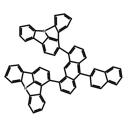 c1ccc2cc(-c3c4cccc(-c5ccc6c7ccccc7n7c8ccccc8c5c67)c4cc4c(-c5ccc6c7ccccc7n7c8ccccc8c5c67)cccc34)ccc2c1